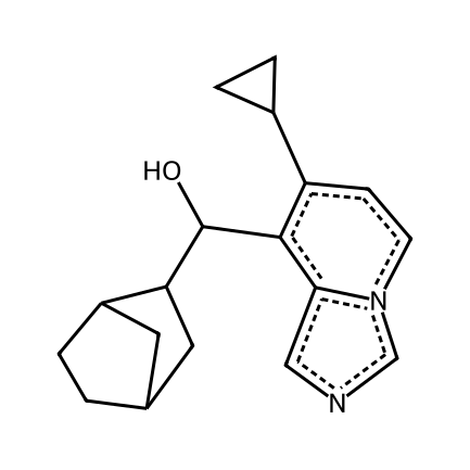 OC(c1c(C2CC2)ccn2cncc12)C1CC2CCC1C2